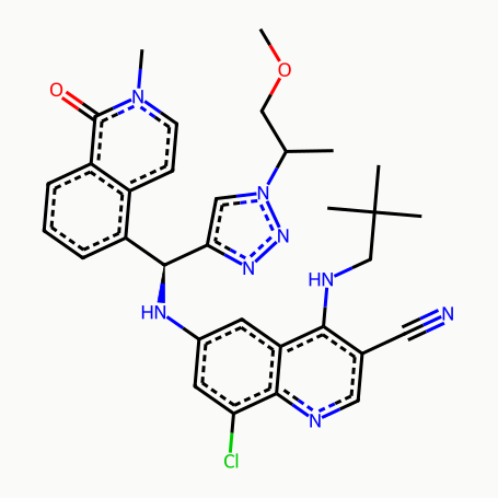 COCC(C)n1cc([C@@H](Nc2cc(Cl)c3ncc(C#N)c(NCC(C)(C)C)c3c2)c2cccc3c(=O)n(C)ccc23)nn1